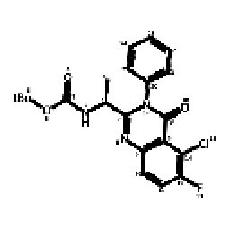 C[C@H](NC(=O)OC(C)(C)C)c1nc2ccc(F)c(Cl)c2c(=O)n1-c1ccccc1